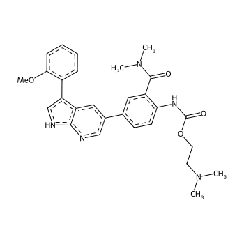 COc1ccccc1-c1c[nH]c2ncc(-c3ccc(NC(=O)OCCN(C)C)c(C(=O)N(C)C)c3)cc12